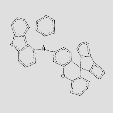 c1ccc(N(c2ccc3c(c2)Oc2ccccc2C32c3ccccc3-c3ccccc32)c2cccc3oc4ccccc4c23)cc1